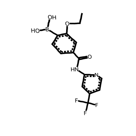 CCOc1cc(C(=O)Nc2cc(C(F)(F)F)ccn2)ccc1B(O)O